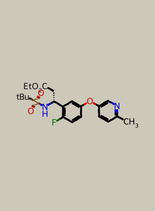 CCOC(=O)C[C@@H](NS(=O)(=O)C(C)(C)C)c1cc(Oc2ccc(C)nc2)ccc1F